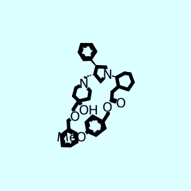 COc1ccc(COC(=O)CC2CCCC[C@H]2N2C[C@H](CN3CCC(O)(COCc4ccccc4)CC3)[C@@H](c3ccccc3)C2)cc1